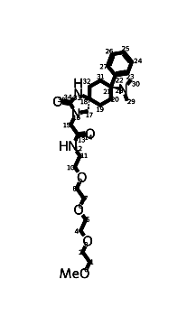 COCCOCCOCCOCCNC(=O)CN1C[C@]2(CC[C@](c3ccccc3)(N(C)C)CC2)NC1=O